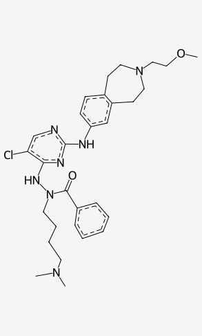 COCCN1CCc2ccc(Nc3ncc(Cl)c(NN(CCCCN(C)C)C(=O)c4ccccc4)n3)cc2CC1